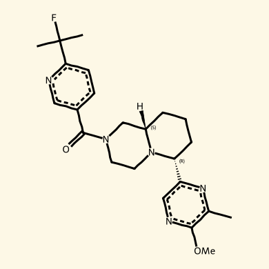 COc1ncc([C@H]2CCC[C@H]3CN(C(=O)c4ccc(C(C)(C)F)nc4)CCN32)nc1C